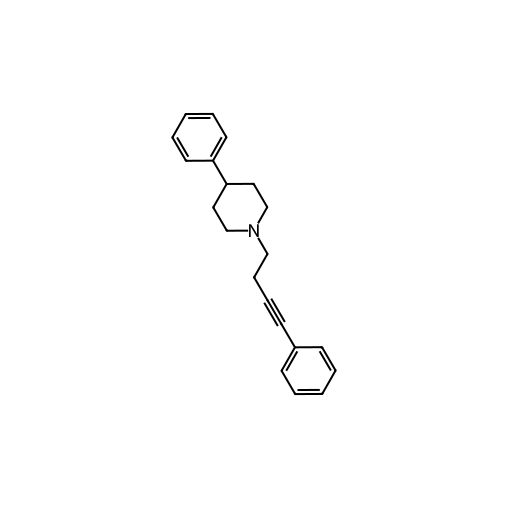 C(#Cc1ccccc1)CCN1CCC(c2ccccc2)CC1